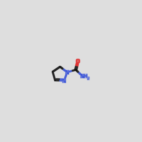 NC(=O)N1CCC=N1